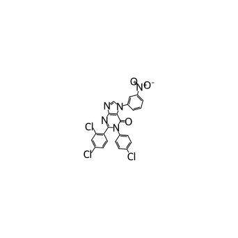 O=c1c2c(ncn2-c2cccc([N+](=O)[O-])c2)nc(-c2ccc(Cl)cc2Cl)n1-c1ccc(Cl)cc1